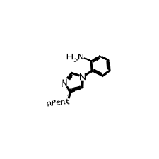 CCCCCc1cn(-c2ccccc2N)cn1